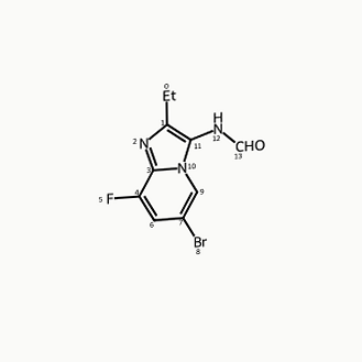 CCc1nc2c(F)cc(Br)cn2c1NC=O